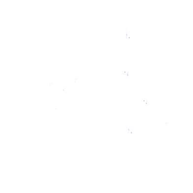 O=c1nc(N2CCNCC2)c2cc(C(F)(F)F)c(-c3ccc(F)cc3)c3c2n1CCCS3